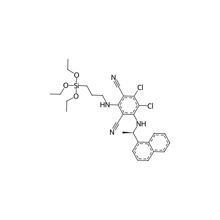 CCO[Si](CCCNc1c(C#N)c(Cl)c(Cl)c(N[C@H](C)c2cccc3ccccc23)c1C#N)(OCC)OCC